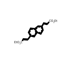 CCOC(=O)/C=C/c1ccc2cc(/C=C/C(=O)OCC)ccc2c1